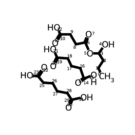 CCCC(O)OC(=O)CCC(=O)O.O=C(O)CCCC(=O)O.O=C(O)CCCCC(=O)O